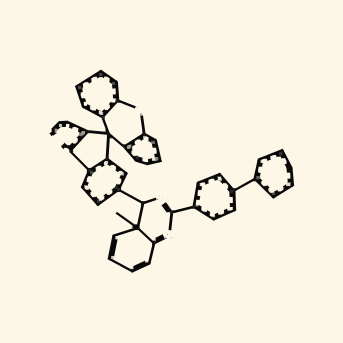 CC12C=CC=CC1=NC(c1ccc(-c3ccccc3)cc1)=NC2c1ccc2c(c1)C1(c3ccccc3Oc3ccccc31)c1ccccc1-2